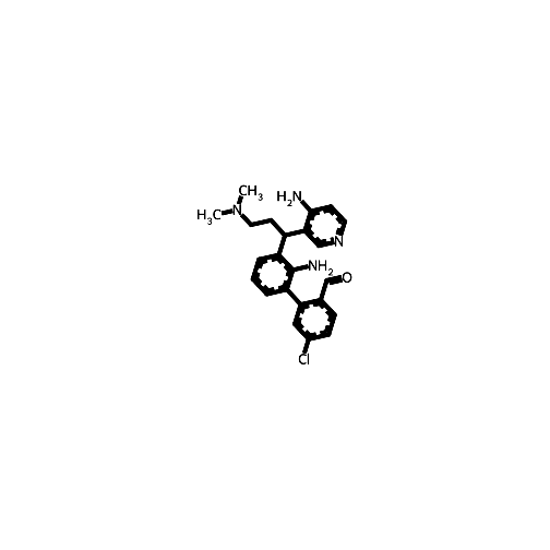 CN(C)CCC(c1cnccc1N)c1cccc(-c2cc(Cl)ccc2C=O)c1N